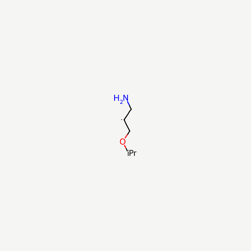 CC(C)OC[CH]CN